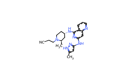 Cc1cc(Nc2cc3ncccc3c(N[C@H]3CCN(CCC#N)[C@H](C)C3)n2)n[nH]1